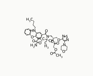 CCCCNc1cc(C(=O)N(C[C@@H](COc2nsnc2N2CCOCC2)OC(=O)COC(C)=O)C(C)(C)C)cc(S(N)(=O)=O)c1Oc1ccccc1